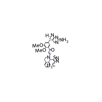 COc1cc(Cc2cnc(N)nc2N)cc(C(=O)/C=C/N2CCc3ccccc3C2c2snnc2C)c1OC